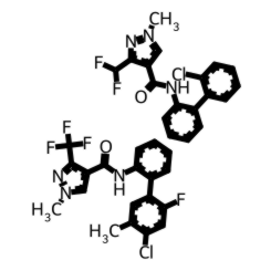 Cc1cc(-c2ccccc2NC(=O)c2cn(C)nc2C(F)(F)F)c(F)cc1Cl.Cn1cc(C(=O)Nc2ccccc2-c2ccccc2Cl)c(C(F)F)n1